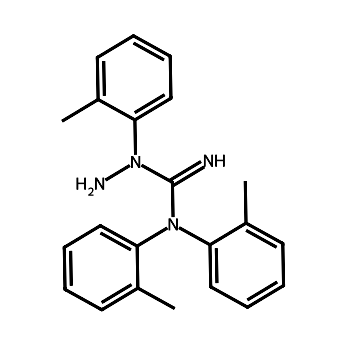 Cc1ccccc1N(N)C(=N)N(c1ccccc1C)c1ccccc1C